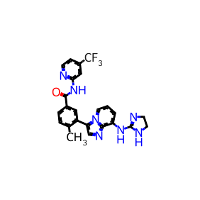 Cc1ccc(C(=O)Nc2cc(C(F)(F)F)ccn2)cc1-c1cnc2c(NC3=NCCN3)cccn12